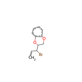 C=CC(Br)C1COc2ccccc2O1